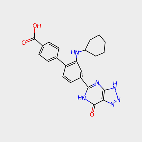 O=C(O)c1ccc(-c2ccc(-c3nc4[nH]nnc4c(=O)[nH]3)cc2NC2CCCCC2)cc1